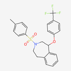 Cc1ccc(S(=O)(=O)N2CCc3ccccc3C(Oc3ccc(C(F)(F)F)cc3)C2)cc1